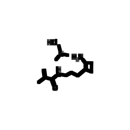 C=C(C)C(=O)NCCCC1=C(N)CC1.CN(C)C.Cl